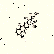 COc1cccc2c1C(=O)c1cc3c(cc1C2=O)C(O)C(C(=O)CO)C(O)C3O